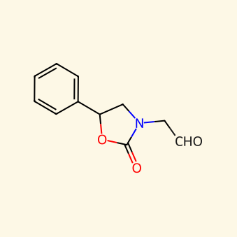 O=CCN1CC(c2ccccc2)OC1=O